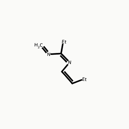 C=N/C(CC)=N\C=C/CC